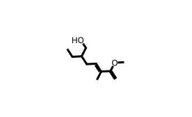 C=C(OC)/C(C)=C/CC(CC)CO